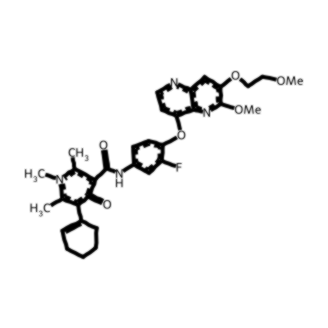 COCCOc1cc2nccc(Oc3ccc(NC(=O)c4c(C)n(C)c(C)c(C5=CCCCC5)c4=O)cc3F)c2nc1OC